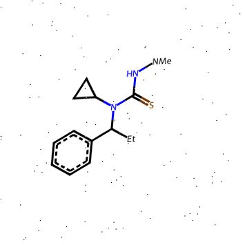 CCC(c1ccccc1)N(C(=S)NNC)C1CC1